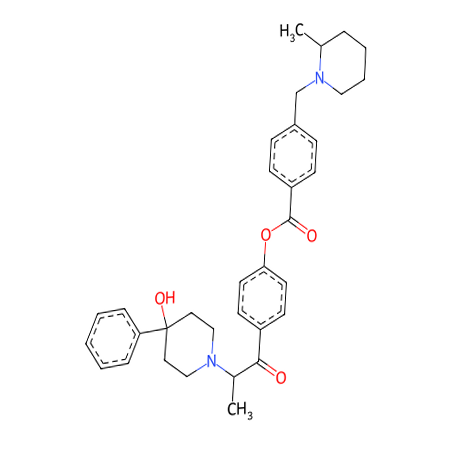 CC1CCCCN1Cc1ccc(C(=O)Oc2ccc(C(=O)C(C)N3CCC(O)(c4ccccc4)CC3)cc2)cc1